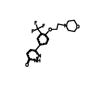 O=c1ccc(-c2ccc(OCCN3CCOCC3)c(C(F)(F)F)c2)n[nH]1